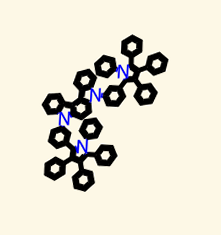 c1ccc(-c2c(-c3ccccc3)c(-c3cccc(-n4c5ccccc5c5c6c7ccccc7n(-c7cccc(-c8c(-c9ccccc9)c(-c9ccccc9)c(-c9ccccc9)n8-c8ccccc8)c7)c6ccc54)c3)n(-c3ccccc3)c2-c2ccccc2)cc1